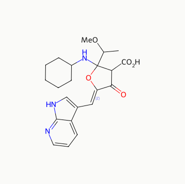 COC(C)C1(NC2CCCCC2)O/C(=C\c2c[nH]c3ncccc23)C(=O)C1C(=O)O